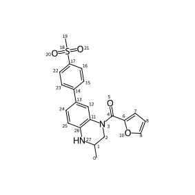 CC1CN(C(=O)c2ccco2)c2cc(-c3ccc(S(C)(=O)=O)cc3)ccc2N1